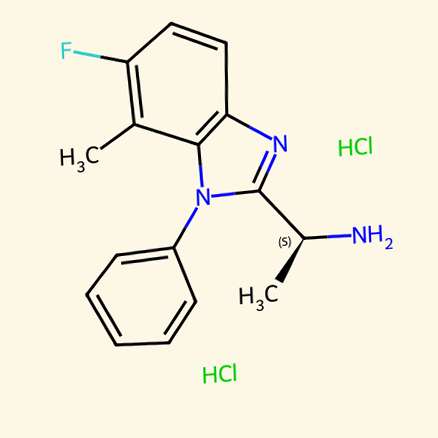 Cc1c(F)ccc2nc([C@H](C)N)n(-c3ccccc3)c12.Cl.Cl